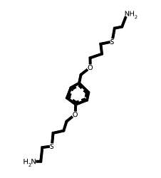 NCCSCCCOCc1ccc(OCCCSCCN)cc1